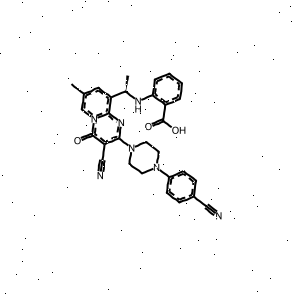 Cc1cc([C@@H](C)Nc2ccccc2C(=O)O)c2nc(N3CCN(c4ccc(C#N)cc4)CC3)c(C#N)c(=O)n2c1